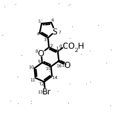 O=C(O)c1c(-c2cccs2)oc2ccc(Br)cc2c1=O